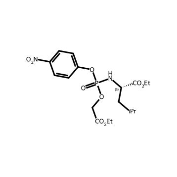 CCOC(=O)COP(=O)(N[C@@H](CC(C)C)C(=O)OCC)Oc1ccc([N+](=O)[O-])cc1